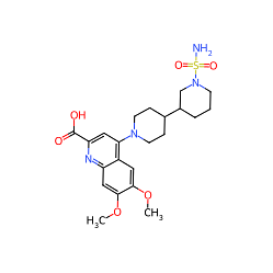 COc1cc2nc(C(=O)O)cc(N3CCC(C4CCCN(S(N)(=O)=O)C4)CC3)c2cc1OC